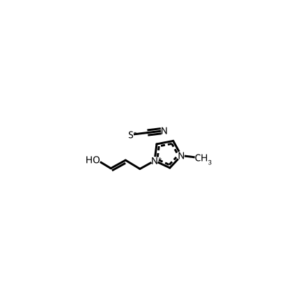 Cn1cc[n+](CC=CO)c1.N#C[S-]